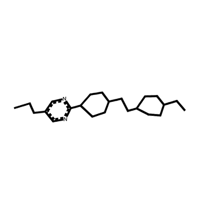 CCCc1cnc(C2CCC(CCC3CCC(CC)CC3)CC2)nc1